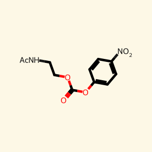 CC(=O)NCCOC(=O)Oc1ccc([N+](=O)[O-])cc1